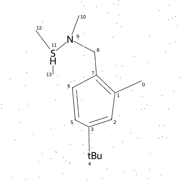 Cc1cc(C(C)(C)C)ccc1CN(C)[SH](C)C